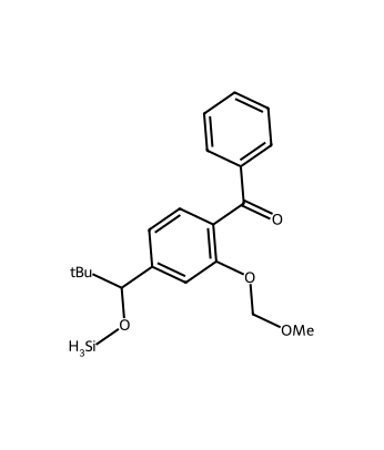 COCOc1cc(C(O[SiH3])C(C)(C)C)ccc1C(=O)c1ccccc1